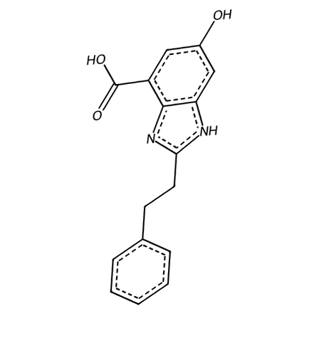 O=C(O)c1cc(O)cc2[nH]c(CCc3ccccc3)nc12